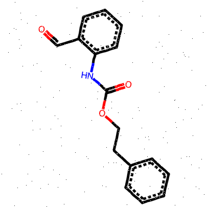 O=[C]c1ccccc1NC(=O)OCCc1ccccc1